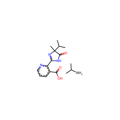 CC(C)C1(C)N=C(c2ncccc2C(=O)O)NC1=O.C[CH](C)[AlH2]